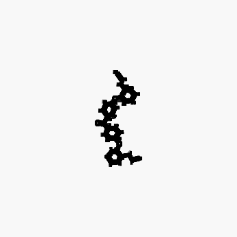 C=CCc1ccccc1Oc1ccc(C(=O)c2ccc(Oc3ccccc3CC=C)cc2)cc1